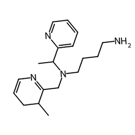 CC1CC=CN=C1CN(CCCCN)C(C)c1ccccn1